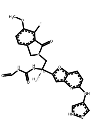 COc1ccc2c(c1F)C(=O)N(C[C@](C)(NC(=O)NC=O)c1cc3nc(Nc4cn[nH]c4)ccc3o1)C2